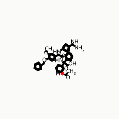 CC(=O)O.COc1cc(C(Nc2ccc(C(=N)N)cc2)C(=O)NC(C(=O)O)(c2ccccc2)c2ccccc2)ccc1OCc1ccccc1